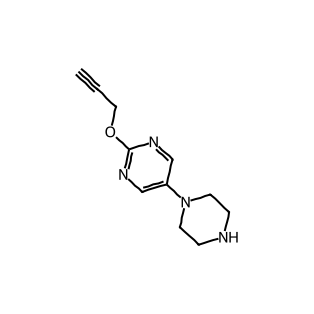 C#CCOc1ncc(N2CCNCC2)cn1